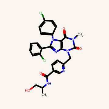 C[C@@H](CO)NC(=O)c1ccc(Cn2c(=O)n(C)c(=O)c3c2nc(-c2ccccc2Cl)n3-c2ccc(Cl)cc2)nc1